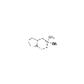 CC1(C)CCN2CCCC2C1